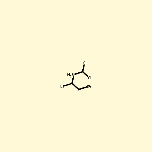 CCC([CH]C(C)C)[SiH2]C(Cl)Cl